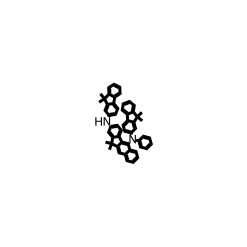 CC1(C)c2ccccc2-c2ccc(Nc3ccc4c(c3)C(C)(C)c3cc5ccccc5c(N(c5ccccc5)c5ccc6c(c5)C(C)(C)c5ccccc5-6)c3-4)cc21